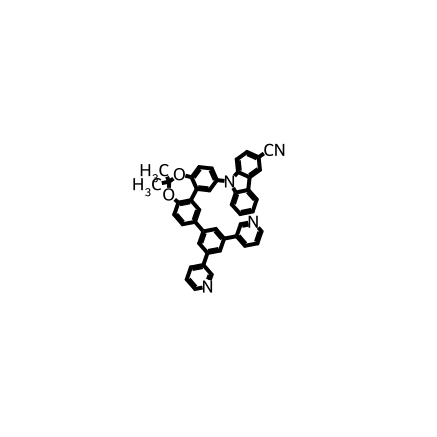 CC1(C)Oc2ccc(-c3cc(-c4cccnc4)cc(-c4cccnc4)c3)cc2-c2cc(-n3c4ccccc4c4cc(C#N)ccc43)ccc2O1